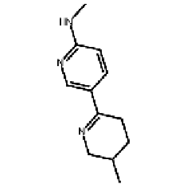 CNc1ccc(C2=NCC(C)CC2)cn1